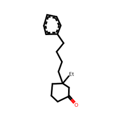 CCC1(CCCCc2ccccc2)CCCC(=O)C1